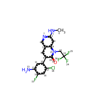 CNc1cc2c(cn1)cc(-c1cc(N)c(F)cc1Cl)c(=O)n2CC(F)(F)F